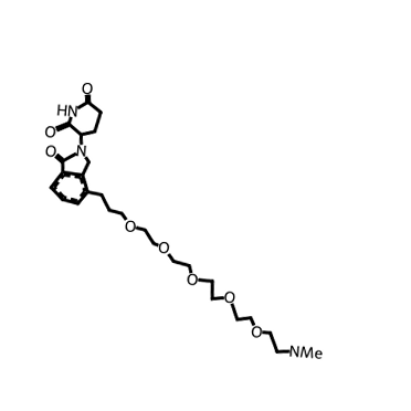 CNCCOCCOCCOCCOCCOCCCc1cccc2c1CN(C1CCC(=O)NC1=O)C2=O